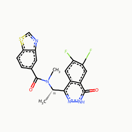 C[C@@H](c1n[nH]c(=O)c2cc(F)c(F)cc12)N(C)C(=O)c1ccc2scnc2c1